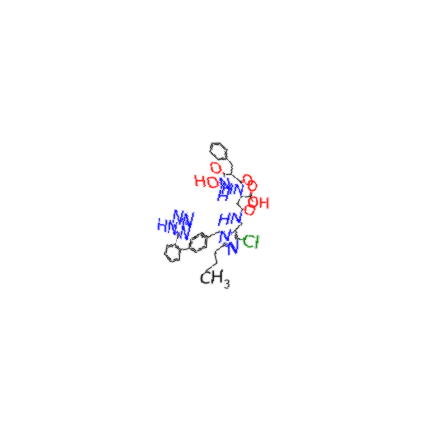 CCCCc1nc(Cl)c(CNC(=O)CC(NC(=O)C(Cc2ccccc2)C(=O)NO)C(=O)O)n1Cc1ccc(-c2ccccc2-c2nnn[nH]2)cc1